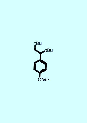 COc1ccc(C(CC(C)(C)C)C(C)(C)C)cc1